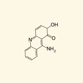 Nc1c2c(nc3ccccc13)C=CC(O)C2=O